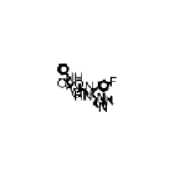 CN(C)c1nccc(-c2[nH]c(C3OCC(C)(C(=O)Nc4ccccc4)CO3)nc2-c2ccc(F)cc2)n1